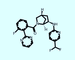 O=C(c1cccc(F)c1-c1ncccn1)N1C[C@@H]2C[C@@H](Nc3ccc(C(F)F)cn3)[C@@H]1C2